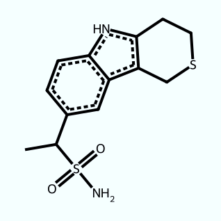 CC(c1ccc2[nH]c3c(c2c1)CSCC3)S(N)(=O)=O